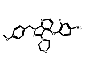 COc1ccc(Cn2nc(N3CCOCC3)c3c(Oc4ccc(N)cc4F)ccnc32)cc1